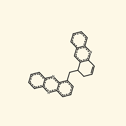 C1=Cc2nc3ccccc3cc2C(Cc2cccc3nc4ccccc4nc23)C1